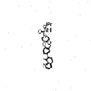 Cc1c(-c2ccc3c(c2)COC2(CCN(C(=O)NOC(C)C)CC2)O3)ccc2cccnc12